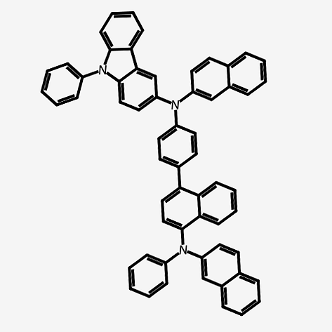 c1ccc(N(c2ccc3ccccc3c2)c2ccc(-c3ccc(N(c4ccc5ccccc5c4)c4ccc5c(c4)c4ccccc4n5-c4ccccc4)cc3)c3ccccc23)cc1